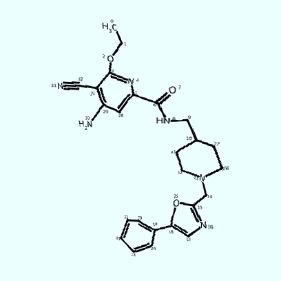 CCOc1nc(C(=O)NCC2CCN(Cc3ncc(-c4ccccc4)o3)CC2)cc(N)c1C#N